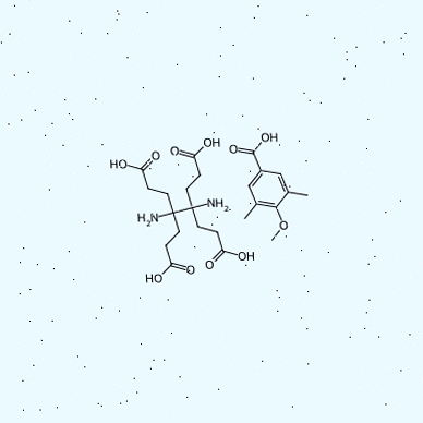 COc1c(C)cc(C(=O)O)cc1C.NC(CCC(=O)O)(CCC(=O)O)C(N)(CCC(=O)O)CCC(=O)O